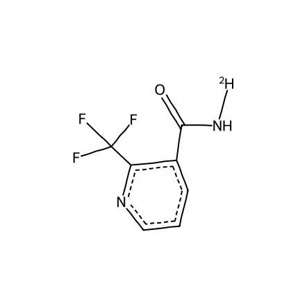 [2H]NC(=O)c1cccnc1C(F)(F)F